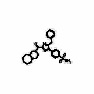 NS(=O)(=O)c1ccc(-n2nc(C(=O)N3CCN4CCCCCC4C3)nc2Cc2ccccc2)cc1